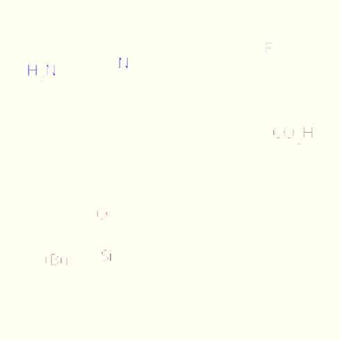 CC(C)(C)[Si](C)(C)OCc1cc(N)nc2cc(F)c(C(=O)O)cc12